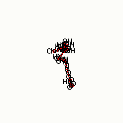 O=C(CCOCCOCCOCCOCCn1cc(CNc2c(NCCCCCCO[C@]3(C(=O)O)C[C@H](O)[C@@H](NC(=O)CO)[C@H]([C@H](O)[C@H](O)CNC(=O)Cc4ccc(Cl)cc4)O3)c(=O)c2=O)nn1)NCCN1C(=O)C=CC1=O